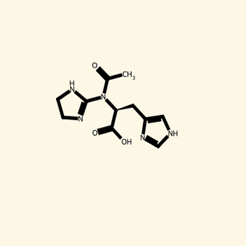 CC(=O)N(C1=NCCN1)[C@@H](Cc1c[nH]cn1)C(=O)O